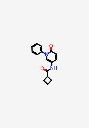 O=C(Nc1ccc(=O)n(-c2ccccc2)c1)C1CCC1